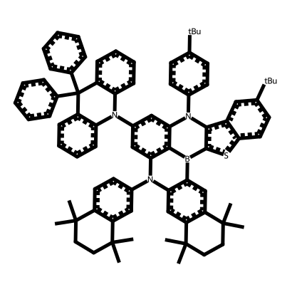 CC(C)(C)c1ccc(N2c3cc(N4c5ccccc5C(c5ccccc5)(c5ccccc5)c5ccccc54)cc4c3B(c3cc5c(cc3N4c3ccc4c(c3)C(C)(C)CCC4(C)C)C(C)(C)CCC5(C)C)c3sc4ccc(C(C)(C)C)cc4c32)cc1